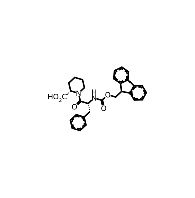 O=C(N[C@H](Cc1ccccc1)C(=O)N1CCCC[C@H]1C(=O)O)OCC1c2ccccc2-c2ccccc21